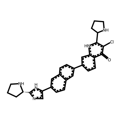 O=c1c(Cl)c(C2CCCN2)[nH]c2cc(-c3ccc4cc(-c5cnc([C@@H]6CCCN6)[nH]5)ccc4c3)ccc12